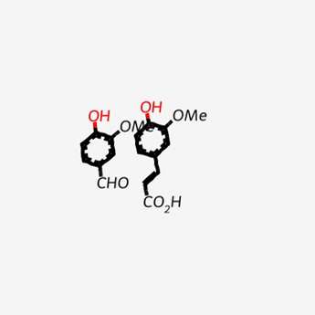 COc1cc(C=CC(=O)O)ccc1O.COc1cc(C=O)ccc1O